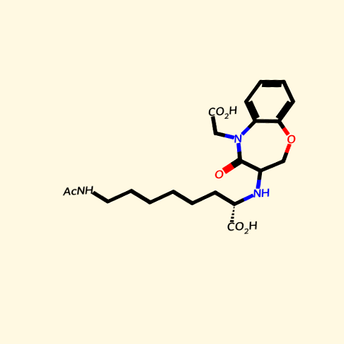 CC(=O)NCCCCCC[C@H](NC1COc2ccccc2N(CC(=O)O)C1=O)C(=O)O